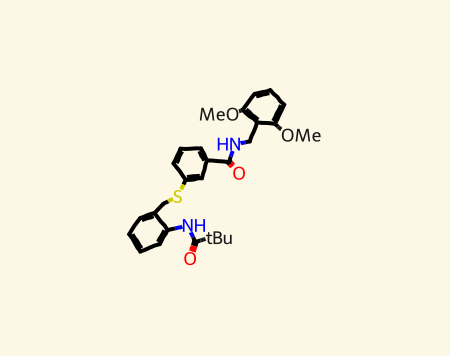 COc1cccc(OC)c1CNC(=O)c1cccc(SCc2ccccc2NC(=O)C(C)(C)C)c1